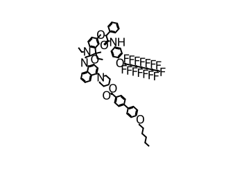 CCCCCCOc1ccc(-c2ccc(C(=O)OC3CCN(c4cc5c(c6ccccc46)N=CC4(O5)N(CC)c5ccc(OC(C(=O)Nc6ccc(OC(F)(F)C(F)(F)C(F)(F)C(F)(F)C(F)(F)C(F)(F)C(F)(F)F)cc6)c6ccccc6)cc5C4(C)CC)CC3)cc2)cc1